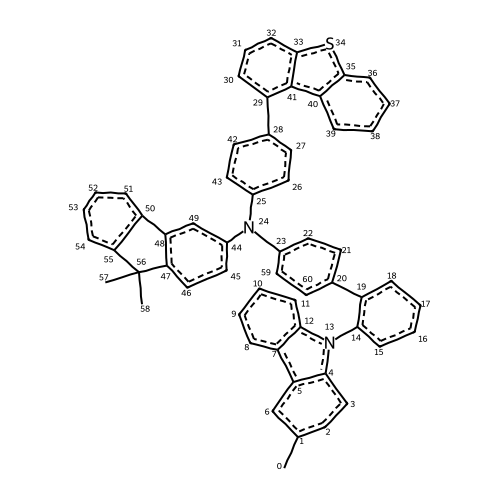 Cc1ccc2c(c1)c1ccccc1n2-c1ccccc1-c1ccc(N(c2ccc(-c3cccc4sc5ccccc5c34)cc2)c2ccc3c(c2)-c2ccccc2C3(C)C)cc1